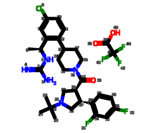 C[C@H](NC(=N)N)c1cc(Cl)ccc1C1CCN(C(=O)[C@@H]2CN(C(C)(C)C)C[C@H]2c2ccc(F)cc2F)CC1.O=C(O)C(F)(F)F